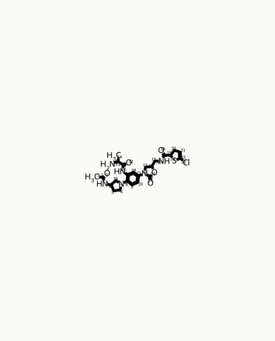 CC(=O)NC1CCN(c2ccc(N3CC(CNC(=O)C4CC=C(Cl)S4)OC3=O)cc2NC(=O)C(C)N)C1